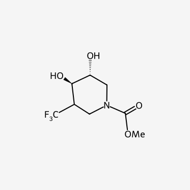 COC(=O)N1CC(C(F)(F)F)[C@@H](O)[C@H](O)C1